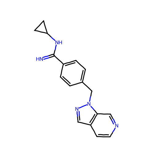 N=C(NC1CC1)c1ccc(Cn2ncc3ccncc32)cc1